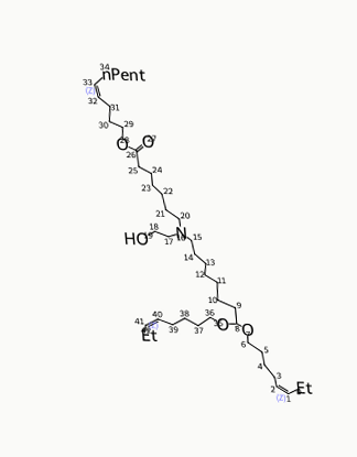 CC/C=C\CCCCOC(CCCCCCCN(CCO)CCCCCCC(=O)OCCC/C=C\CCCCC)OCCCC/C=C\CC